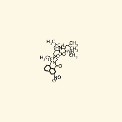 CCOP(=O)(CC(CC(C)C)C(=O)N[C@@H](CC(C)C)C(=O)NC)CN1C(=O)c2cccc3cc([N+](=O)[O-])cc(c23)C1=O